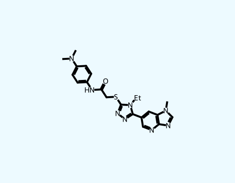 CCn1c(SCC(=O)Nc2ccc(N(C)C)cc2)nnc1-c1cnc2ncn(C)c2c1